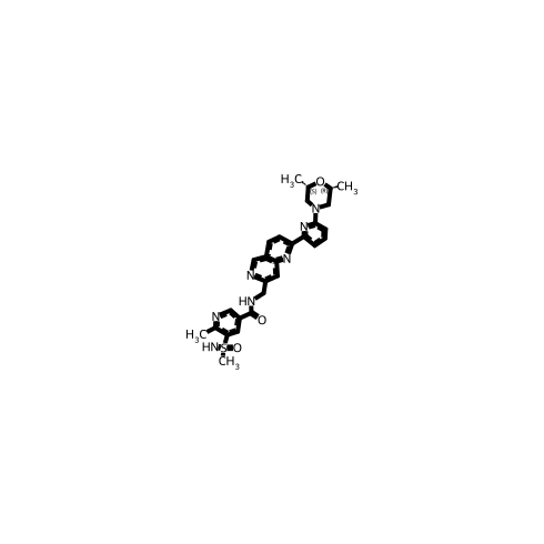 Cc1ncc(C(=O)NCc2cc3nc(-c4cccc(N5C[C@@H](C)O[C@@H](C)C5)n4)ccc3cn2)cc1S(C)(=N)=O